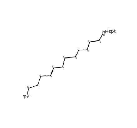 CCCCCCCCCCCCCCCCCC[CH2][Th]